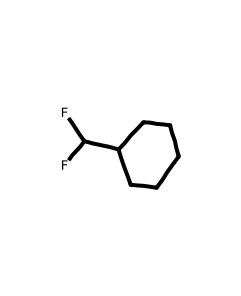 FC(F)[C]1CCCCC1